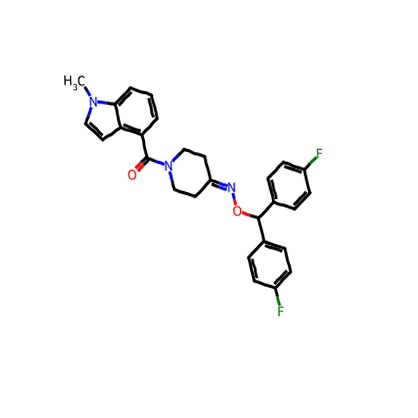 Cn1ccc2c(C(=O)N3CCC(=NOC(c4ccc(F)cc4)c4ccc(F)cc4)CC3)cccc21